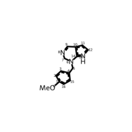 COc1ccc(CN2CN=Cc3cc[nH]c32)cc1